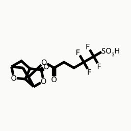 O=C(CCC(F)(F)C(F)(F)S(=O)(=O)O)OC1C2C3CC4C(=O)OC12C4O3